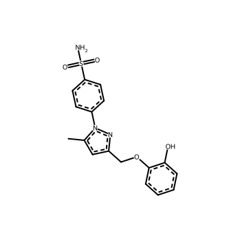 Cc1cc(COc2ccccc2O)nn1-c1ccc(S(N)(=O)=O)cc1